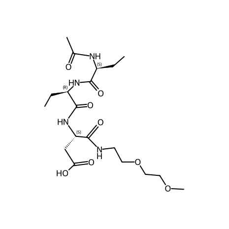 CC[C@H](NC(C)=O)C(=O)N[C@H](CC)C(=O)N[C@@H](CC(=O)O)C(=O)NCCOCCOC